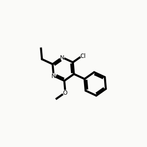 CCc1nc(Cl)c(-c2ccccc2)c(OC)n1